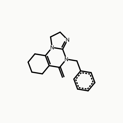 C=C1C2=C(CCCC2)N2CCN=C2N1Cc1ccccc1